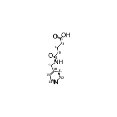 O=C(O)CCCC(=O)NCc1ccncc1